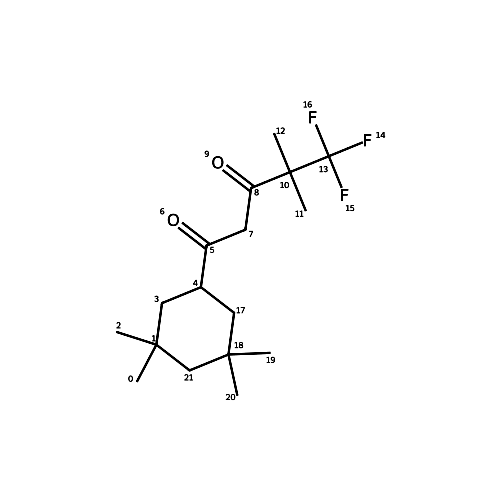 CC1(C)CC(C(=O)CC(=O)C(C)(C)C(F)(F)F)CC(C)(C)C1